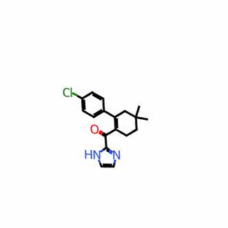 CC1(C)CCC(C(=O)c2ncc[nH]2)=C(c2ccc(Cl)cc2)C1